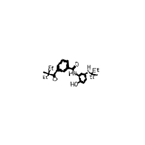 CCC(C)(CC)Nc1ccc(O)c(NC(=O)c2cccc(C(=O)C(C)(CC)CC)c2)c1